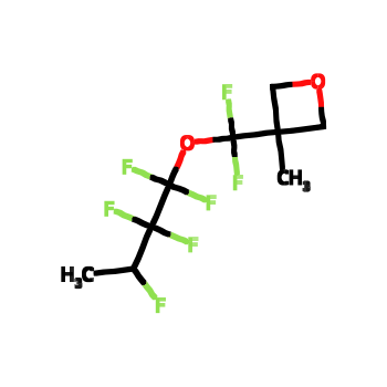 CC(F)C(F)(F)C(F)(F)OC(F)(F)C1(C)COC1